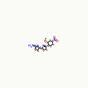 COc1cc([N+](=O)[O-])ccc1-c1csc(-c2csc(N)n2)n1